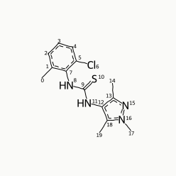 Cc1cccc(Cl)c1NC(=S)Nc1c(C)nn(C)c1C